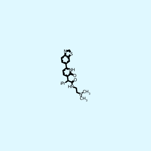 CC(C)C(C(=O)NCCN(C)C)c1ccc(-c2ccc3ncsc3c2)[nH]c1=O